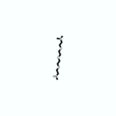 CNCCOCCOCCOCCN(C)C